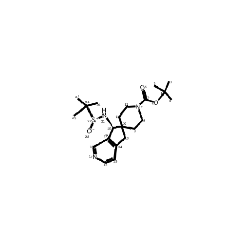 CC(C)(C)OC(=O)N1CCC2(CC1)Cc1ccncc1[C@H]2N[S+]([O-])C(C)(C)C